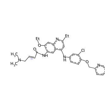 CCOc1cc2nc(CC)cc(Nc3ccc(OCc4ccccn4)c(Cl)c3)c2cc1NC(=O)/C=C/CN(C)C